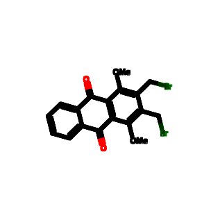 COc1c(CBr)c(CBr)c(OC)c2c1C(=O)c1ccccc1C2=O